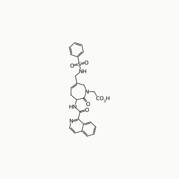 O=C(O)CN1CC(CNS(=O)(=O)c2ccccc2)=CCC(NC(=O)c2nccc3ccccc23)C1=O